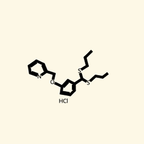 CCCSC(SCCC)c1cccc(OCc2ccccn2)c1.Cl